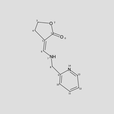 O=C1OCCC1=CNCc1ccccn1